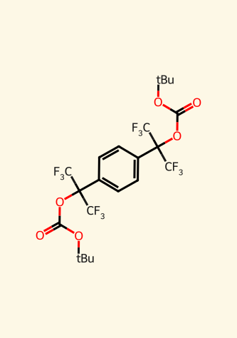 CC(C)(C)OC(=O)OC(c1ccc(C(OC(=O)OC(C)(C)C)(C(F)(F)F)C(F)(F)F)cc1)(C(F)(F)F)C(F)(F)F